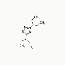 CCC(CC)c1cn(C(CC)CC)nn1